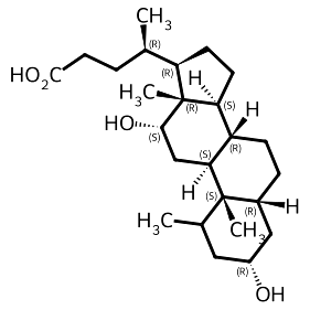 CC1C[C@@H](O)C[C@H]2CC[C@@H]3[C@H](C[C@H](O)[C@]4(C)[C@@H]([C@H](C)CCC(=O)O)CC[C@@H]34)[C@@]12C